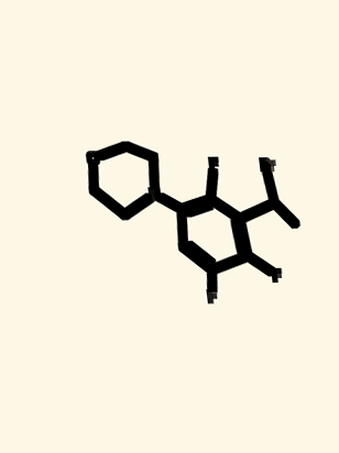 CC(Br)c1c(F)c(F)cc(N2CCOCC2)c1F